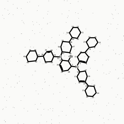 BrC1C(N(C2=CCC(C3CCCCC3)CC2)C2CC=C(C3CCCCC3)CC2)CC=CC1N(C1C=CC(C2CCCCC2)CC1)C1CCC(C2CCCCC2)CC1